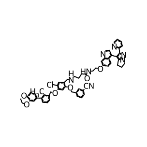 Cc1c(COc2cc(OCc3cccc(C#N)c3)c(CNCCCC(=O)NCCOc3ccc4c(-c5c(-c6ccccn6)nn6c5CCC6)ccnc4c3)cc2Cl)cccc1-c1ccc2c(c1)OCCO2